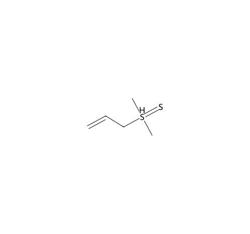 C=CC[SH](C)(C)=S